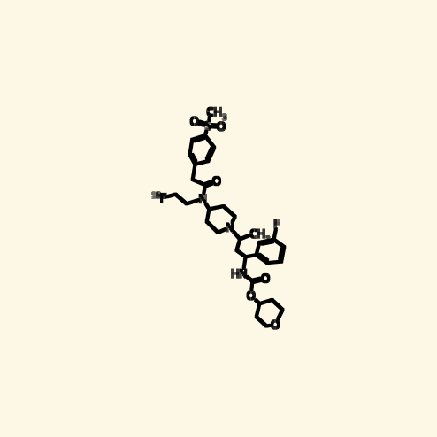 CC(CC(NC(=O)OC1CCOCC1)c1cccc(F)c1)N1CCC(N(CC[18F])C(=O)Cc2ccc(S(C)(=O)=O)cc2)CC1